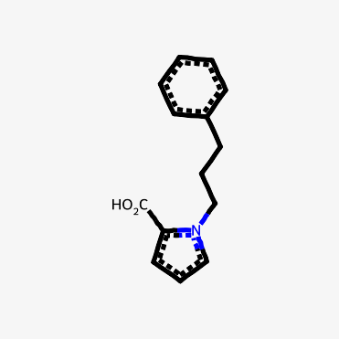 O=C(O)c1cccn1CCCc1ccccc1